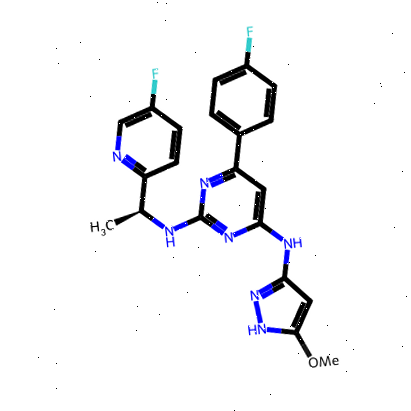 COc1cc(Nc2cc(-c3ccc(F)cc3)nc(N[C@@H](C)c3ccc(F)cn3)n2)n[nH]1